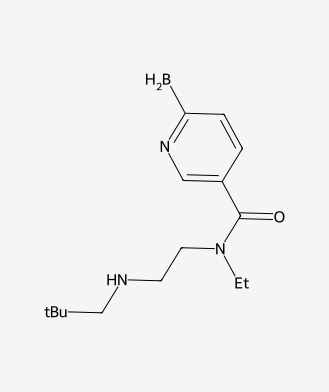 Bc1ccc(C(=O)N(CC)CCNCC(C)(C)C)cn1